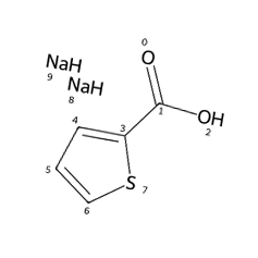 O=C(O)c1cccs1.[NaH].[NaH]